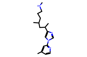 CNCCCC(C)CC(C)c1cn(-c2cc(C)ccn2)cn1